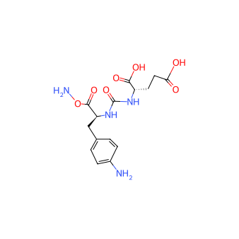 NOC(=O)[C@H](Cc1ccc(N)cc1)NC(=O)N[C@@H](CCC(=O)O)C(=O)O